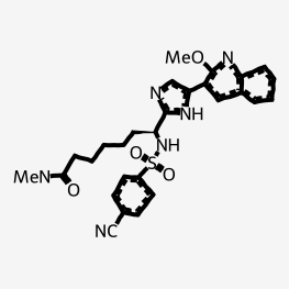 CNC(=O)CCCCC[C@H](NS(=O)(=O)c1ccc(C#N)cc1)c1ncc(-c2cc3ccccc3nc2OC)[nH]1